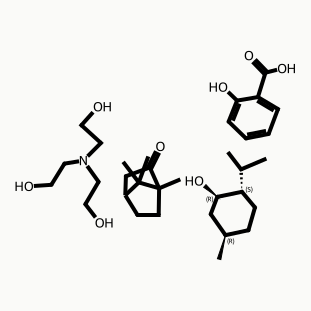 CC(C)[C@@H]1CC[C@@H](C)C[C@H]1O.CC12CCC(CC1=O)C2(C)C.O=C(O)c1ccccc1O.OCCN(CCO)CCO